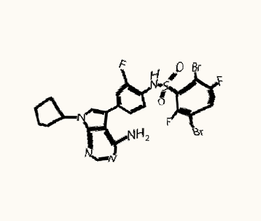 Nc1ncnc2c1c(-c1ccc(NS(=O)(=O)c3c(F)c(Br)cc(F)c3Br)c(F)c1)cn2C1CCCC1